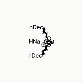 CCCCCCCCCCCCCCOS(=O)(=O)OC(=O)CCCCCCCCCCCCC.[NaH]